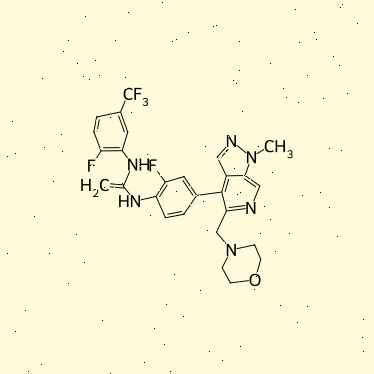 C=C(Nc1ccc(-c2c(CN3CCOCC3)ncc3c2cnn3C)cc1F)Nc1cc(C(F)(F)F)ccc1F